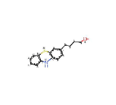 OCCCCc1ccc2c(c1)Sc1ccccc1N2